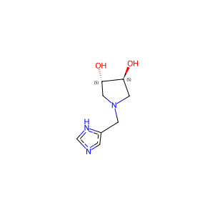 O[C@H]1CN(Cc2cnc[nH]2)C[C@@H]1O